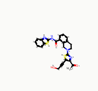 CC(=O)c1nc(N2CCc3cccc(C(=O)Nc4nc5ccccc5s4)c3C2)sc1C#CCO